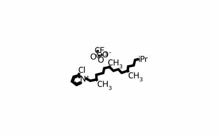 CC(C)CCCC(C)CCCC(C)CCCC(C)CC[n+]1ccccc1Cl.O=S(=O)([O-])C(F)(F)F